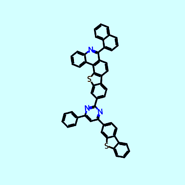 c1ccc(-c2cc(-c3ccc4c(c3)sc3ccccc34)nc(-c3ccc4c(c3)sc3c4ccc4c(-c5cccc6ccccc56)nc5ccccc5c43)n2)cc1